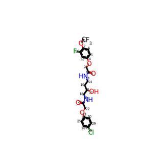 O=C(COc1ccc(OC(F)(F)F)c(F)c1)NCC[C@H](O)CNC(=O)COc1ccc(Cl)cc1